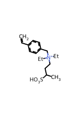 C=Cc1ccc(C[N+](CC)(CC)CCC(C)S(=O)(=O)O)cc1